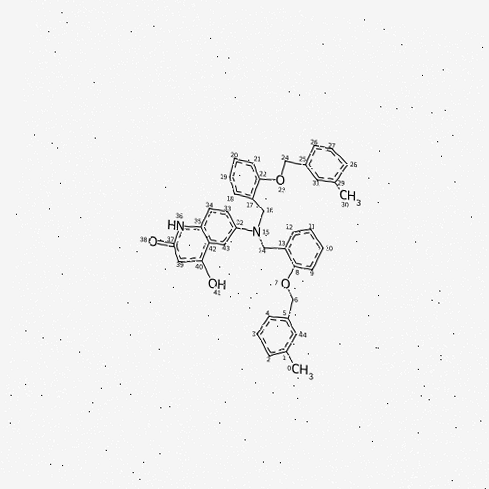 Cc1cccc(COc2ccccc2CN(Cc2ccccc2OCc2cccc(C)c2)c2ccc3[nH]c(=O)cc(O)c3c2)c1